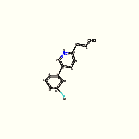 O=C/C=C/c1ccc(-c2cccc(F)c2)cn1